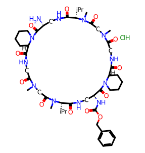 CC(C)[C@H]1C(=O)NC[C@@H](NC(=O)OCc2ccccc2)C(=O)N2CCCC[C@H]2C(=O)NCC(=O)N(C)CC(=O)N(C)[C@@H](C(C)C)C(=O)NC[C@@H](N)C(=O)N2CCCC[C@H]2C(=O)NCC(=O)N(C)CC(=O)N1C.Cl